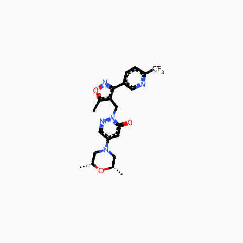 Cc1onc(-c2ccc(C(F)(F)F)nc2)c1Cn1ncc(N2C[C@@H](C)O[C@@H](C)C2)cc1=O